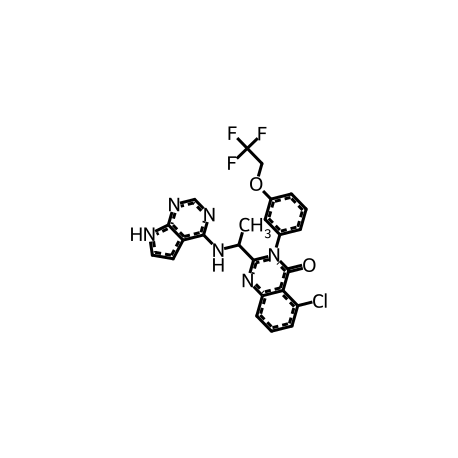 CC(Nc1ncnc2[nH]ccc12)c1nc2cccc(Cl)c2c(=O)n1-c1cccc(OCC(F)(F)F)c1